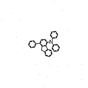 c1ccc(-c2ccc(N(c3ccccc3)c3ccccc3)c3c2Cc2ccccc2-3)cc1